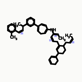 C/C=C\CC1CCC(C2=CC=CCC2)C=C1C/C=C\C(=C/C)NC1=CCC=C(c2cccc(C(C)/C=C\c3ccccc3C)c2)C=C1